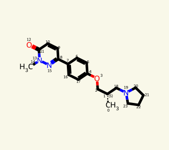 C[C@H](COc1ccc(-c2ccc(=O)n(C)n2)cc1)CN1CCCC1